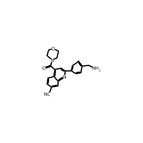 N#Cc1ccc2c(C(=O)N3CCOCC3)cc(-c3ccc(CN)cc3)nc2c1